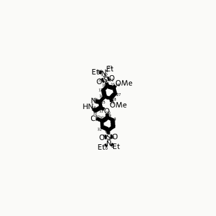 CCN(CC)S(=O)(=O)c1ccc(Oc2c[nH]nc2-c2cc(S(=O)(=O)N(CC)CC)c(OC)cc2OC)c(Cl)c1